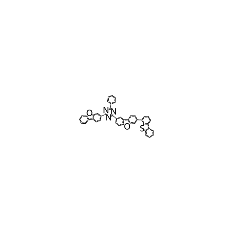 c1ccc(-c2nc(-c3ccc4c(c3)oc3ccccc34)nc(-c3ccc4oc5cc(-c6cccc7c6sc6ccccc67)ccc5c4c3)n2)cc1